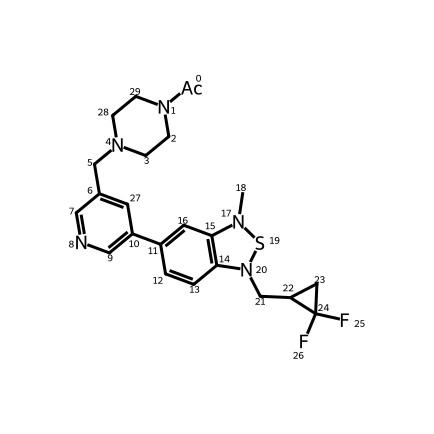 CC(=O)N1CCN(Cc2cncc(-c3ccc4c(c3)N(C)SN4CC3CC3(F)F)c2)CC1